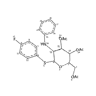 CC(=O)OCC1OC(Sc2ccc(F)cc2)C(Nc2ccccc2)C(OC(C)=O)C1OC(C)=O